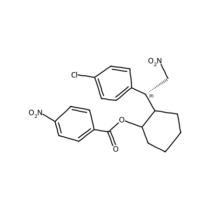 O=C(OC1CCCCC1[C@@H](C[N+](=O)[O-])c1ccc(Cl)cc1)c1ccc([N+](=O)[O-])cc1